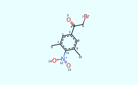 Cc1cc(C(=O)CBr)cc(C)c1[N+](=O)[O-]